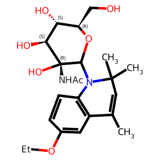 CCOc1ccc2c(c1)C(C)=CC(C)(C)N2C1O[C@H](CO)[C@@H](O)[C@H](O)[C@]1(O)NC(C)=O